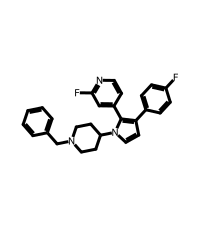 Fc1ccc(-c2ccn(C3CCN(Cc4ccccc4)CC3)c2-c2ccnc(F)c2)cc1